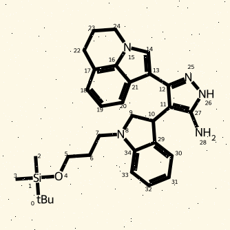 CC(C)(C)[Si](C)(C)OCCCN1CC(c2c(-c3cn4c5c(cccc35)CCC4)n[nH]c2N)c2ccccc21